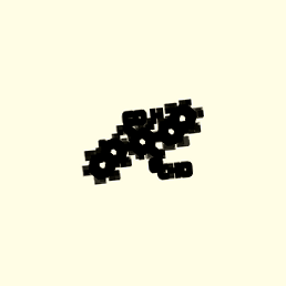 O=COCc1cc(-c2ccc3ccccc3c2)c(CC(=O)O)cc1-c1ccc2ccccc2c1